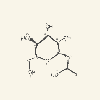 CC(O)O[C@H]1O[C@H](CO)[C@@H](O)[C@H](O)[C@@H]1O